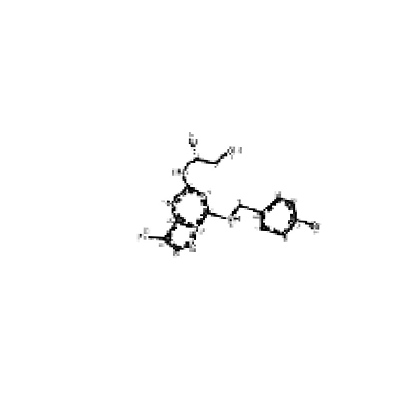 CC[C@H](CO)Nc1nc(NCc2ccc(Br)cc2)n2ncc(C(C)C)c2n1